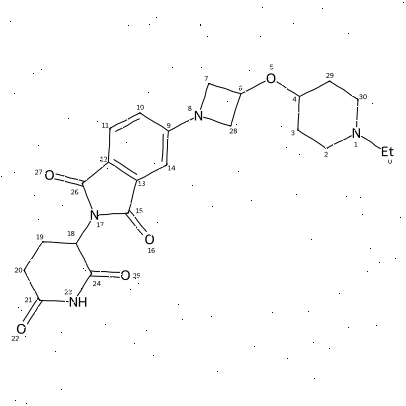 CCN1CCC(OC2CN(c3ccc4c(c3)C(=O)N(C3CCC(=O)NC3=O)C4=O)C2)CC1